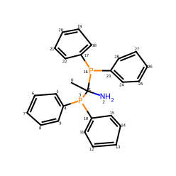 CC(N)(P(c1ccccc1)c1ccccc1)P(c1ccccc1)c1ccccc1